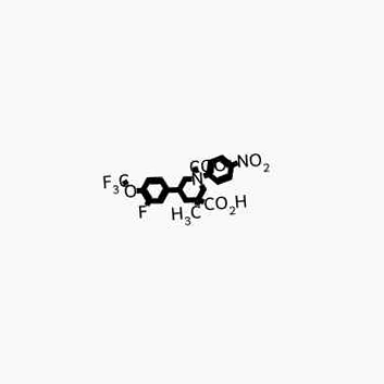 CC1(C(=O)O)CC(c2ccc(OC(F)(F)F)c(F)c2)C[N+](C(=O)[O-])(c2ccc([N+](=O)[O-])cc2)C1